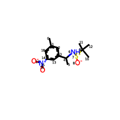 Cc1cc(C(C)N[S+]([O-])C(C)(C)C)cc([N+](=O)[O-])c1